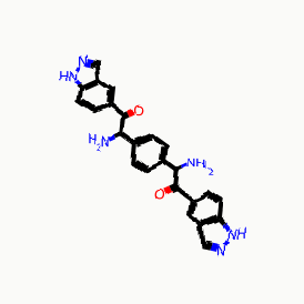 NC(C(=O)c1ccc2[nH]ncc2c1)c1ccc(C(N)C(=O)c2ccc3[nH]ncc3c2)cc1